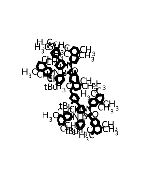 Cc1cc2c(cc1N1c3cc(C(C)(C)C)ccc3B3c4c1cc(-c1ccc(CC5(C)CCC(C)(C)c6cc7oc8c(c7cc65)B5c6ccc(C(C)(C)C)cc6N(c6cc7c(cc6C)C(C)(C)CCC7(C)C)c6cc(-c7ccc([Si](C)(C)C)cc7)cc(c65)N8c5ccc6c(c5)C(C)(C)CCC6(C)C)cc1C(C)(C)C)cc4N(c1ccc4c(c1)C(C)(C)CCC4(C)C)c1oc4cc5c(cc4c13)C(C)(C)CCC5(C)C)C(C)(C)CCC2(C)C